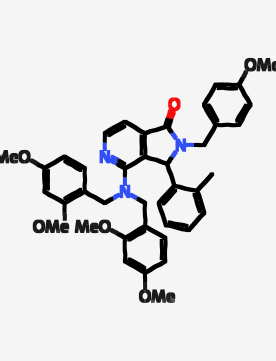 COc1ccc(CN2C(=O)c3ccnc(N(Cc4ccc(OC)cc4OC)Cc4ccc(OC)cc4OC)c3C2c2ccccc2C)cc1